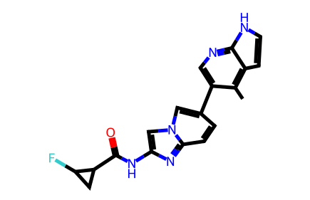 Cc1c(-c2ccc3nc(NC(=O)C4CC4F)cn3c2)cnc2[nH]ccc12